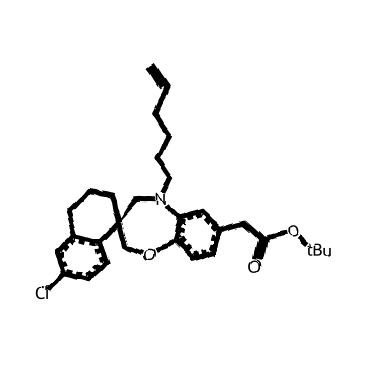 C=CCCCCN1C[C@@]2(CCCc3cc(Cl)ccc32)COc2ccc(CC(=O)OC(C)(C)C)cc21